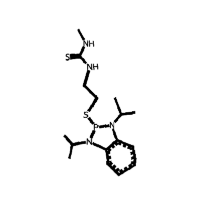 CNC(=S)NCCSP1N(C(C)C)c2ccccc2N1C(C)C